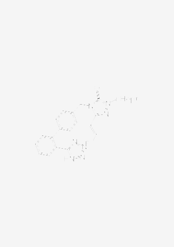 CCC=Cc1nn(CCCCCCC)c(=O)n1Cc1ccc(-c2ccccc2-c2nnn[nH]2)cc1